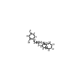 Cc1ccc(SNCc2cn3ccccc3n2)c(C)c1